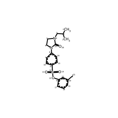 CC(C)CN1CCN(c2ccc(S(=O)(=O)Oc3cccc(I)c3)cc2)C1=O